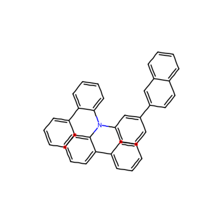 c1ccc(-c2ccccc2N(c2cccc(-c3ccc4ccccc4c3)c2)c2ccccc2-c2ccccc2)cc1